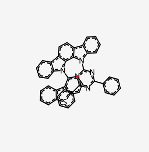 c1ccc(-c2nc(-c3ccccc3)nc(-n3c4ccccc4c4ccc5c6ccccc6n(-c6cccc7sc8ccccc8c67)c5c43)n2)cc1